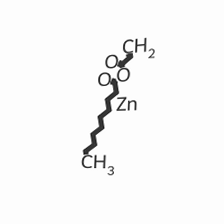 C=CC(=O)OC(=O)CCCCCCCCC.[Zn]